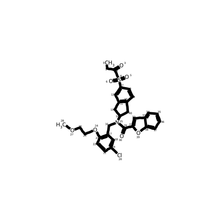 CCC(=O)S(=O)(=O)c1ccc2c(c1)CC(N(Cc1cc(Cl)ccc1OCCOC)C(=O)c1cc3ccccc3o1)C2